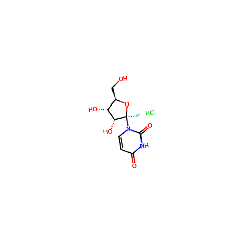 Cl.O=c1ccn([C@]2(F)O[C@H](CO)[C@@H](O)[C@H]2O)c(=O)[nH]1